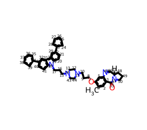 Cc1cc2c(cc1OCCCN1CCN(CCCn3c4ccc(-c5ccccc5)cc4c4cc(-c5ccccc5)ccc43)CC1)N=C[C@@H]1CCCN1C2=O